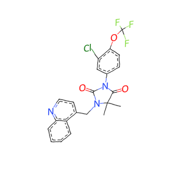 CC1(C)C(=O)N(c2ccc(OC(F)(F)F)c(Cl)c2)C(=O)N1Cc1ccnc2ccccc12